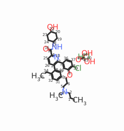 CCCN(C)CCCOc1cc(-c2nc(C(=O)NC3CCC(O)CC3)ccc2-c2ccccc2CC)ccc1Cl.Cl.O=C(O)O